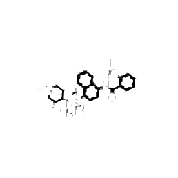 CCOC(=O)[C@@H]1CNCC[C@@H]1NS(=O)(=O)c1ccc(NC(=O)c2ccccc2C)c2ccccc12